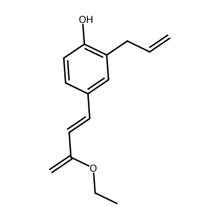 C=CCc1cc(/C=C/C(=C)OCC)ccc1O